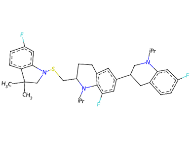 CC(C)N1CC(c2cc(F)c3c(c2)CCC(CSN2CC(C)(C)c4ccc(F)cc42)N3C(C)C)Cc2ccc(F)cc21